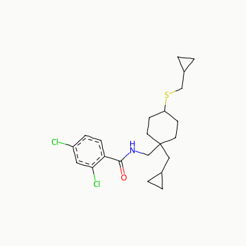 O=C(NCC1(CC2CC2)CCC(SCC2CC2)CC1)c1ccc(Cl)cc1Cl